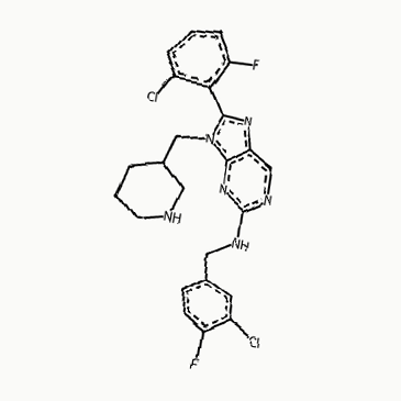 Fc1ccc(CNc2ncc3nc(-c4c(F)cccc4Cl)n(CC4CCCNC4)c3n2)cc1Cl